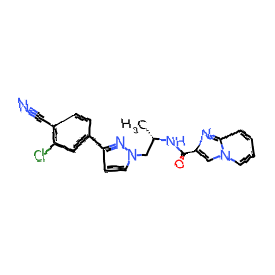 C[C@@H](Cn1ccc(-c2ccc(C#N)c(Cl)c2)n1)NC(=O)c1cn2ccccc2n1